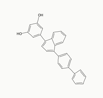 Oc1cc(O)cc(-c2ccc(-c3ccc(-c4ccccc4)cc3)c3ccccc23)c1